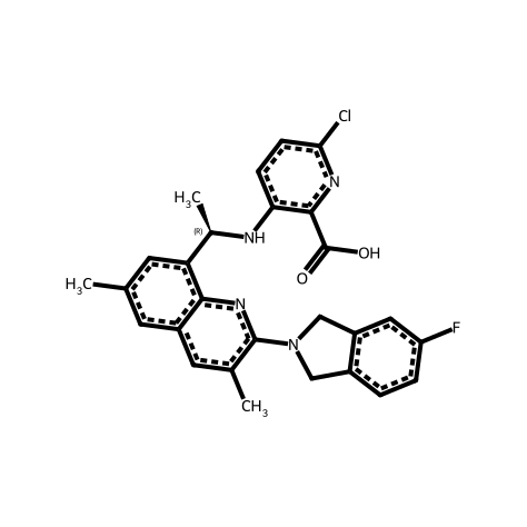 Cc1cc([C@@H](C)Nc2ccc(Cl)nc2C(=O)O)c2nc(N3Cc4ccc(F)cc4C3)c(C)cc2c1